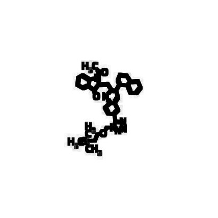 CC(=O)N1C(=Cc2nc3ccc(-c4nnnn4COCC[Si](C)(C)C)cc3cc2-c2cccc3ccccc23)C(=O)c2ccccc21